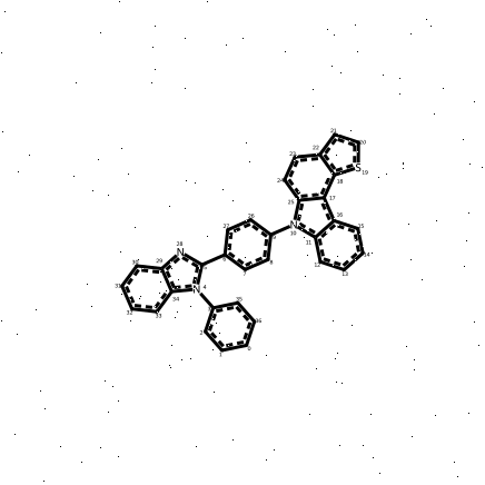 c1ccc(-n2c(-c3ccc(-n4c5ccccc5c5c6sccc6ccc54)cc3)nc3ccccc32)cc1